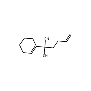 C=CCCC(C#N)(C#N)C1=CCCCC1